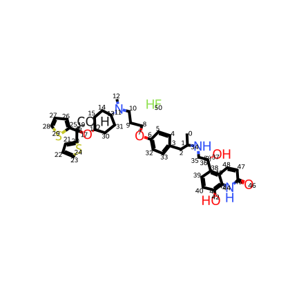 CC(Cc1ccc(OCCCN(C)[C@H]2CC[C@H](OC(C(=O)O)(c3cccs3)c3cccs3)CC2)cc1)NC[C@H](O)c1ccc(O)c2[nH]c(=O)ccc12.F